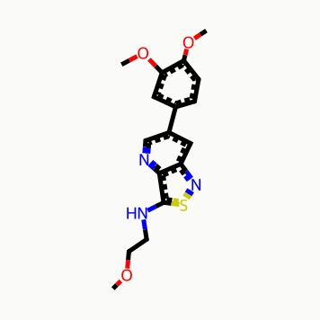 COCCNc1snc2cc(-c3ccc(OC)c(OC)c3)cnc12